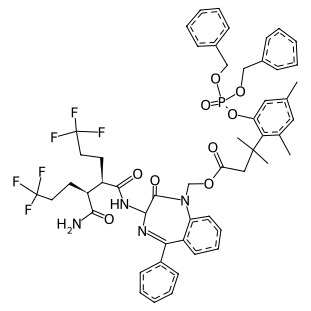 Cc1cc(C)c(C(C)(C)CC(=O)OCN2C(=O)C(NC(=O)[C@H](CCC(F)(F)F)[C@H](CCC(F)(F)F)C(N)=O)N=C(c3ccccc3)c3ccccc32)c(OP(=O)(OCc2ccccc2)OCc2ccccc2)c1